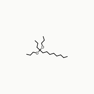 CCCCCCCCC(CCC)(OCCC)OCCC